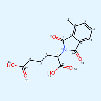 Cc1cccc2c1C(=O)N(C(CCCC(=O)O)C(=O)O)C2=O